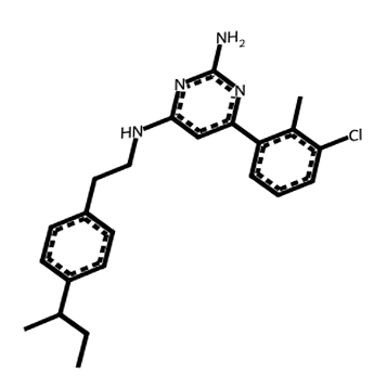 CCC(C)c1ccc(CCNc2cc(-c3cccc(Cl)c3C)nc(N)n2)cc1